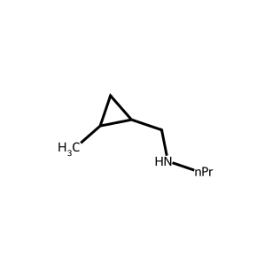 CCCNCC1CC1C